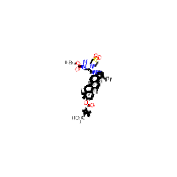 CC(C)[C@@H]1CC[C@]2(NCC(CNC(=O)OC(C)(C)C)N3CCS(=O)(=O)CC3)CC[C@]3(C)[C@H](CC[C@@H]4[C@@]5(C)CC[C@H](OC(=O)[C@H]6C[C@@H](C(=O)O)C6(C)C)C(C)(C)[C@@H]5CC[C@]43C)[C@@H]12